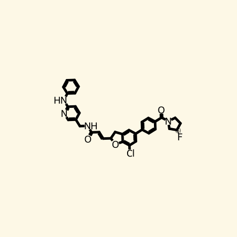 O=C(C=CC1Cc2cc(-c3ccc(C(=O)N4CC[C@H](F)C4)cc3)cc(Cl)c2O1)NCc1ccc(Nc2ccccc2)nc1